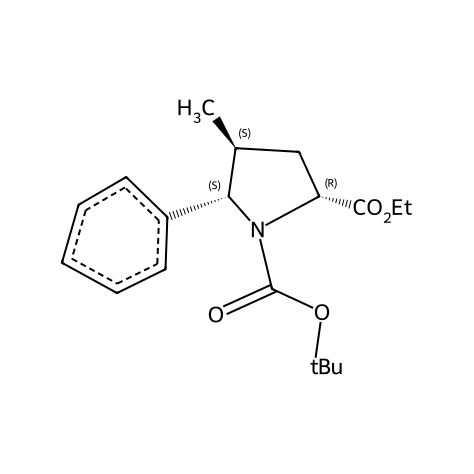 CCOC(=O)[C@H]1C[C@H](C)[C@@H](c2ccccc2)N1C(=O)OC(C)(C)C